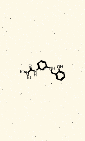 CCN(CC)C(=O)Nc1cccc(NCc2ccccc2O)c1